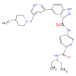 CCC(CC)NC(=O)c1ccc(NC(=O)c2n[nH]c3ccc(-c4cncc(CN5CCC(C)CC5)c4)cc23)cn1